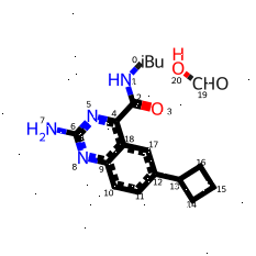 CCC(C)NC(=O)c1nc(N)nc2ccc(C3CCC3)cc12.O=CO